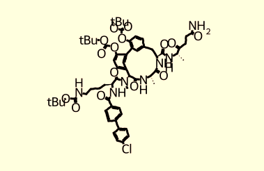 C[C@H](NC(=O)[C@@H]1Cc2ccc(OC(=O)OC(C)(C)C)c(c2)-c2cc(ccc2OC(=O)OC(C)(C)C)[C@H](N(C)C(=O)[C@H](CCCCNC(=O)OC(C)(C)C)NC(=O)c2ccc(-c3ccc(Cl)cc3)cc2)C(=O)N[C@@H](C)C(=O)N1)C(=O)CCC(N)=O